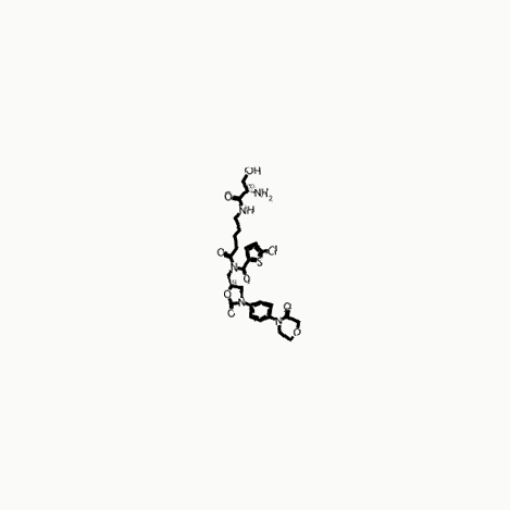 N[C@@H](CO)C(=O)NCCCCC(=O)N(C[C@H]1CN(c2ccc(N3CCOCC3=O)cc2)C(=O)O1)C(=O)c1ccc(Cl)s1